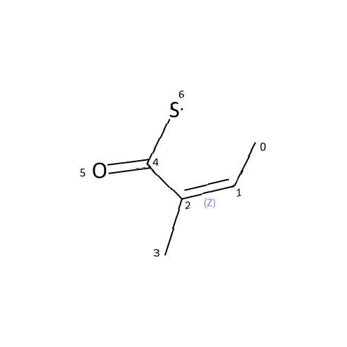 C/C=C(/C)C(=O)[S]